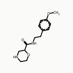 COc1ccc(CCNC(=O)C2CNCCO2)cc1